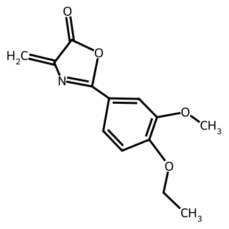 C=C1N=C(c2ccc(OCC)c(OC)c2)OC1=O